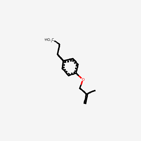 C=C(C)COc1ccc(CCC(=O)O)cc1